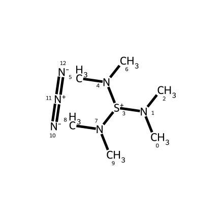 CN(C)[S+](N(C)C)N(C)C.[N-]=[N+]=[N-]